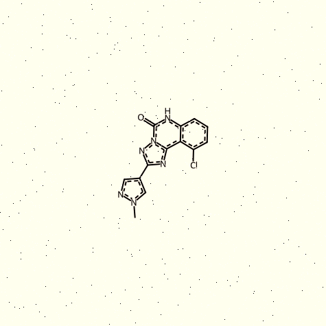 Cn1cc(-c2nc3c4c(Cl)cccc4[nH]c(=O)n3n2)cn1